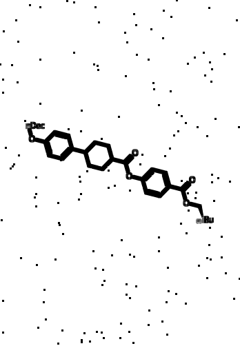 CCCCCCCCCCOc1ccc(C2CCC(C(=O)Oc3ccc(C(=O)OC[C@H](C)CC)cc3)CC2)cc1